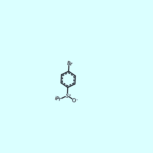 CC(C)[S+]([O-])c1ccc(Br)cc1